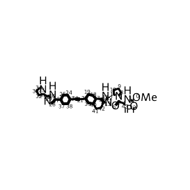 COC(=O)N[C@H](C(=O)N1CCC[C@H]1c1nc2c([nH]1)-c1ccc(C#Cc3ccc(-c4cnc(C5CCCN5)[nH]4)cc3)cc1CC2)C(C)C